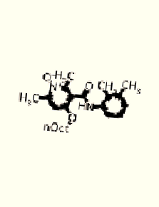 CCCCCCCCOc1cc(C)[n+]([O-])c(C)c1C(=O)Nc1cccc(C)c1C